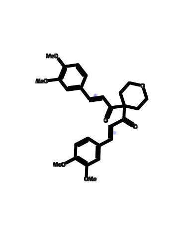 COc1ccc(/C=C/C(=O)C2(C(=O)/C=C/c3ccc(OC)c(OC)c3)CCOCC2)cc1OC